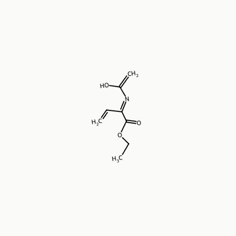 C=C/C(=N\C(=C)O)C(=O)OCC